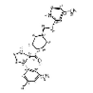 N#Cc1cc(F)cc([C@@H]2CCON2C(=O)[C@H]2CC[C@H](COc3cc(C#N)ccn3)CC2)c1